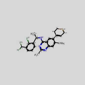 COc1cc2nc(C)nc(N[C@H](C)c3cccc(C(F)F)c3F)c2cc1C1=CCSCC1